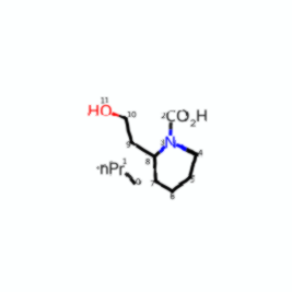 C[CH]CC.O=C(O)N1CCCCC1CCO